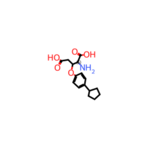 N[C@H](C(=O)O)C(CC(=O)O)Oc1ccc(C2CCCC2)cc1